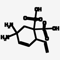 C=CC1C=CC(N)(N)CC1(S(=O)(=O)O)S(=O)(=O)O